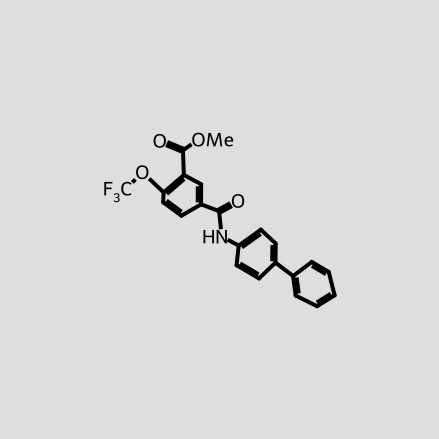 COC(=O)c1cc(C(=O)Nc2ccc(-c3ccccc3)cc2)ccc1OC(F)(F)F